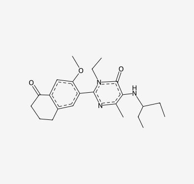 CCC(CC)Nc1c(C)nc(-c2cc3c(cc2OC)C(=O)CCC3)n(CC)c1=O